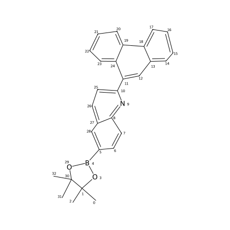 CC1(C)OB(c2ccc3nc(-c4cc5ccccc5c5ccccc45)ccc3c2)OC1(C)C